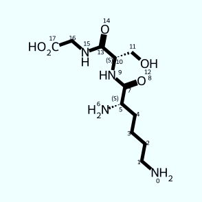 NCCCC[C@H](N)C(=O)N[C@@H](CO)C(=O)NCC(=O)O